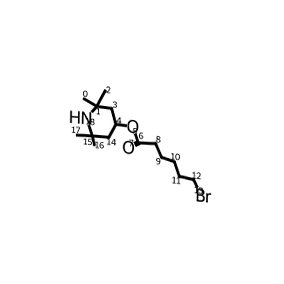 CC1(C)CC(OC(=O)CCCCCBr)CC(C)(C)N1